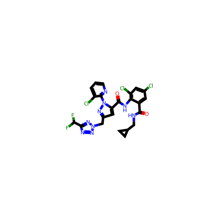 O=C(NCC1CC1)c1cc(Cl)cc(Cl)c1NC(=O)c1cc(Cn2nnc(C(F)F)n2)nn1-c1ncccc1Cl